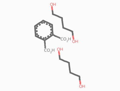 O=C(O)c1ccccc1C(=O)O.OCCCCO.OCCCCO